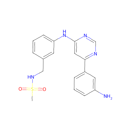 CS(=O)(=O)NCc1cccc(Nc2cc(-c3cccc(N)c3)ncn2)c1